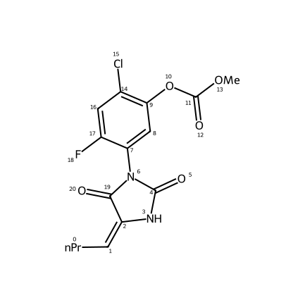 CCCC=C1NC(=O)N(c2cc(OC(=O)OC)c(Cl)cc2F)C1=O